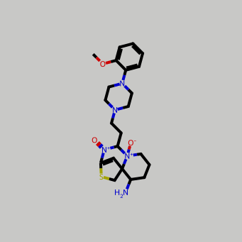 COc1ccccc1N1CCN(CCC2[N+](=O)C3=CC4(CS3)C(N)CCC[N+]24[O-])CC1